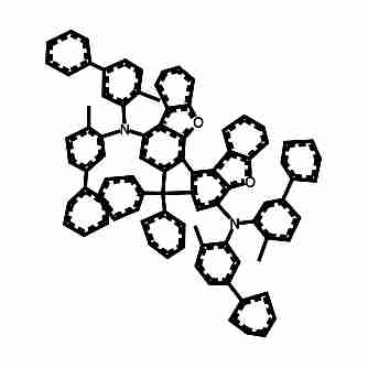 Cc1ccc(-c2ccccc2)cc1N(c1cc(-c2ccccc2)ccc1C)c1cc2c(c3c1oc1ccccc13)-c1c(cc(N(c3cc(-c4ccccc4)ccc3C)c3cc(-c4ccccc4)ccc3C)c3c1oc1ccccc13)C2(c1ccccc1)c1ccccc1